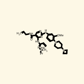 C=CCNC(=O)c1cnc(Nc2ccc(N3CCC(N4CCC4)CC3)c(OC)c2)nc1NC(/C=C\C=O)=N/N(C)C(C)C